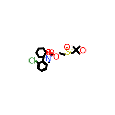 CN(C(=O)OCC[S+]([O-])CC1(C)COC1)[C@]1(c2ccccc2Cl)CCCCC1=O